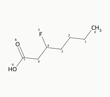 CCCCC(F)CC(=O)O